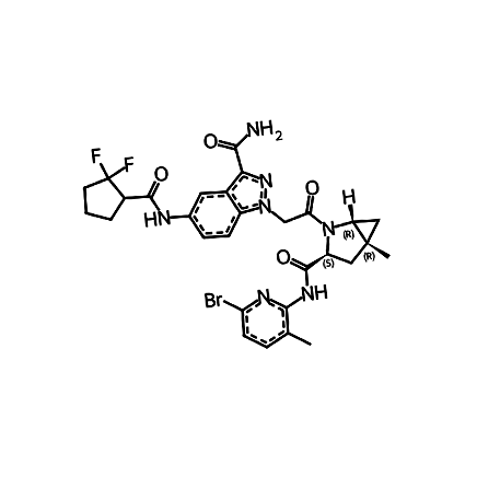 Cc1ccc(Br)nc1NC(=O)[C@@H]1C[C@@]2(C)C[C@H]2N1C(=O)Cn1nc(C(N)=O)c2cc(NC(=O)C3CCCC3(F)F)ccc21